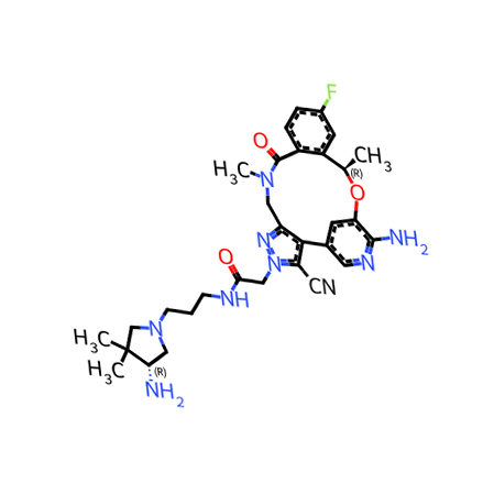 C[C@H]1Oc2cc(cnc2N)-c2c(nn(CC(=O)NCCCN3C[C@H](N)C(C)(C)C3)c2C#N)CN(C)C(=O)c2ccc(F)cc21